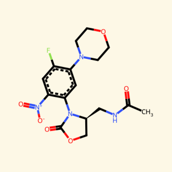 CC(=O)NC[C@H]1COC(=O)N1c1cc(N2CCOCC2)c(F)cc1[N+](=O)[O-]